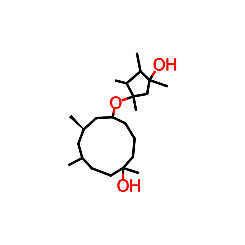 CC1CCC(C)(O)CCCC(OC2(C)CC(C)(O)C(C)C2C)C[C@H](C)C1